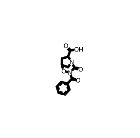 O=C(O)C1CC2CN1C(=O)N(C(=O)c1ccccc1)O2